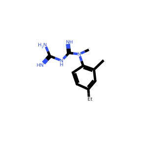 CCc1ccc(N(C)C(=N)NC(=N)N)c(C)c1